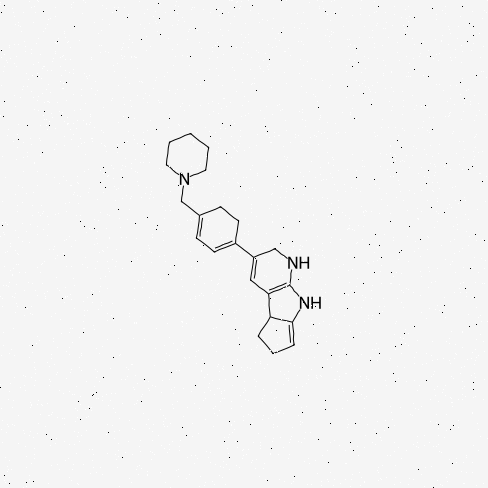 C1=C(CN2CCCCC2)CCC(C2=CC3=C(NC2)NC2=CCCC23)=C1